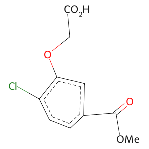 COC(=O)c1ccc(Cl)c(OCC(=O)O)c1